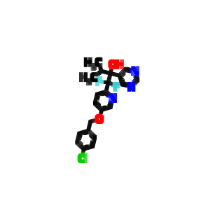 CC(C)C(O)(c1cncnc1)C(F)(F)c1ccc(OCc2ccc(Cl)cc2)cn1